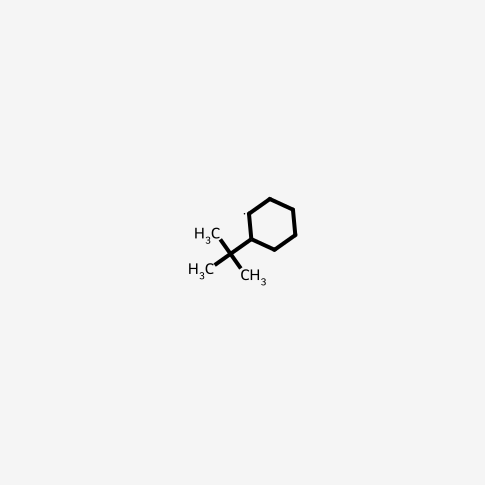 CC(C)(C)C1[CH]CCCC1